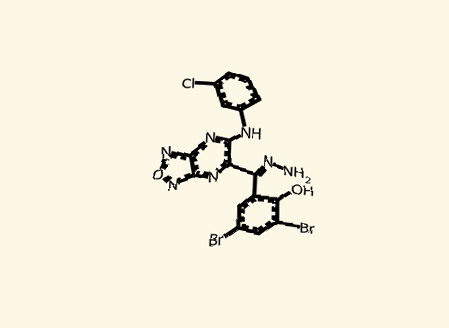 NN=C(c1cc(Br)cc(Br)c1O)c1nc2nonc2nc1Nc1cccc(Cl)c1